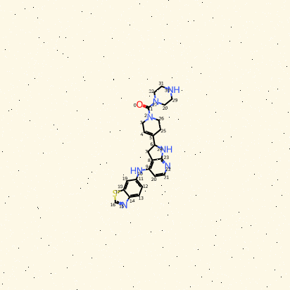 O=C(N1CC=C(C2Cc3c(Nc4ccc5ncsc5c4)ccnc3N2)CC1)N1CCNCC1